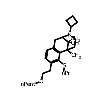 CCCCCOCCc1ccc2c(c1SCCC)C1(C)CCN(C3CCC3)C(C2)C1(C)O